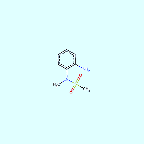 CN(c1ccccc1N)S(C)(=O)=O